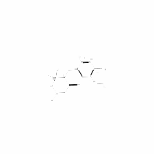 C=C1CC(C)CC(C)(C)C1Cc1cc(OC)c(Br)cc1O